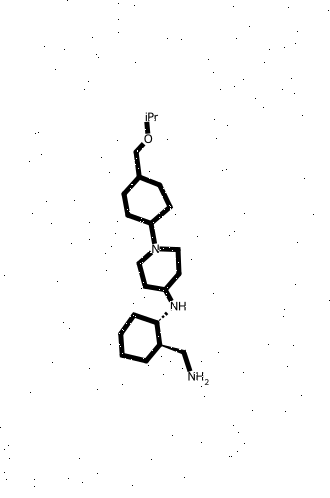 CC(C)OCC1CCC(N2CCC(N[C@H]3CCCC[C@@H]3CN)CC2)CC1